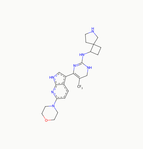 FC(F)(F)C1=C(c2c[nH]c3nc(N4CCOCC4)ccc23)N=C(NC2CCC23CCNC3)NC1